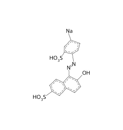 O=S(=O)(O)c1ccc2c(N=Nc3cc[c]([Na])cc3S(=O)(=O)O)c(O)ccc2c1